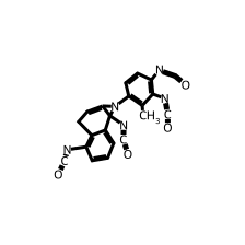 Cc1c(N2C3=CCc4c(N=C=O)cccc4C32N=C=O)ccc(N=C=O)c1N=C=O